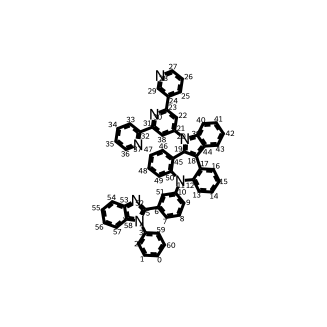 c1ccc(-n2c(-c3cccc(N4c5ccccc5-c5c(n(-c6cc(-c7cccnc7)nc(-c7ccccn7)c6)c6ccccc56)-c5ccccc54)c3)nc3ccccc32)cc1